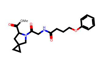 COC(=O)C1CC2(CC2)CN1C(=O)CNC(=O)CCCOc1ccccc1